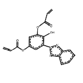 C=CC(=O)Oc1cc(OC(=O)C=C)c(O)c(-n2nc3ccccc3n2)c1